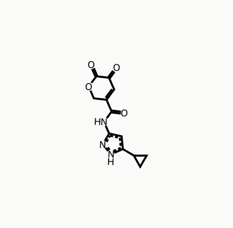 O=C1C=C(C(=O)Nc2cc(C3CC3)[nH]n2)COC1=O